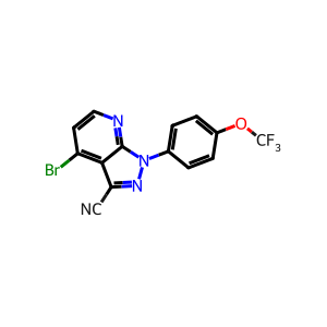 N#Cc1nn(-c2ccc(OC(F)(F)F)cc2)c2nccc(Br)c12